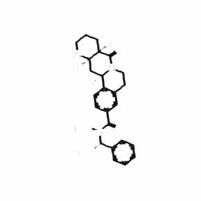 C[C@H](c1ccccc1)N(C)C(=O)c1ccc2c(c1)CCN1C(=O)[C@H]3CCCN[C@H]3C[C@H]21